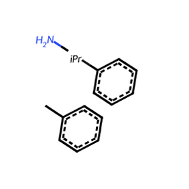 CC(C)c1ccccc1.CN.Cc1ccccc1